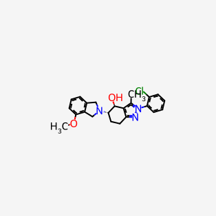 COc1cccc2c1CN([C@H]1CCc3nn(-c4ccccc4Cl)c(C)c3[C@@H]1O)C2